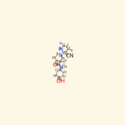 Cc1cc(C)c(C#N)c(N2CCC[C@]3(CCN(C4CCC(O)CC4)C3=O)C2)n1